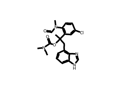 CN(C)C(=O)OC(C)(Cc1cccc2[nH]cnc12)c1cc(Cl)ccc1N(C)C=O